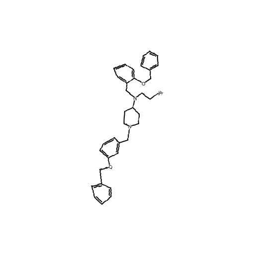 CC(C)CCN(Cc1ccccc1OCc1ccccc1)C1CCN(Cc2cccc(OCc3ccccc3)c2)CC1